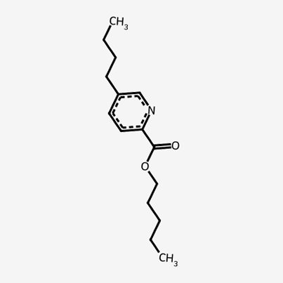 CCCCCOC(=O)c1ccc(CCCC)cn1